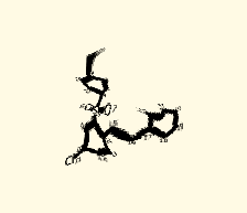 Cc1ccc(S(=O)(=O)c2cc(Cl)ccc2C=Cc2ccccc2)cc1